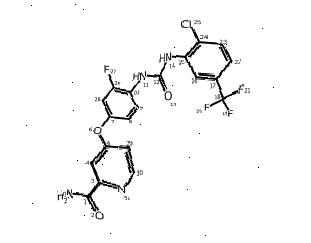 NC(=O)c1cc(Oc2ccc(NC(=O)Nc3cc(C(F)(F)F)ccc3Cl)c(F)c2)ccn1